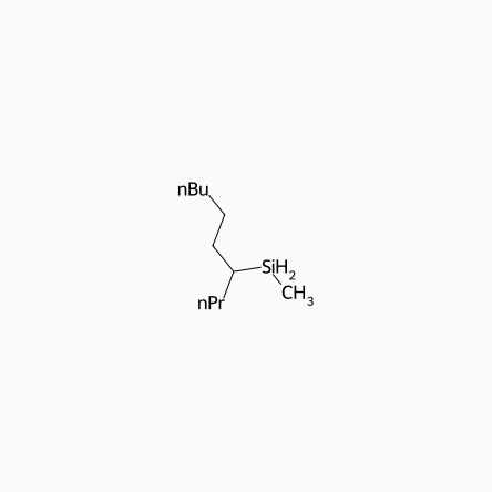 CCCCCCC(CCC)[SiH2]C